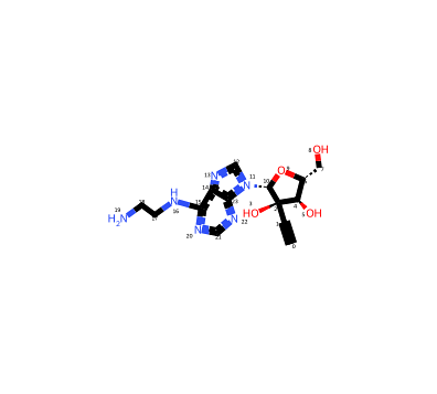 C#C[C@@]1(O)[C@H](O)[C@@H](CO)O[C@H]1n1cnc2c(NCCN)ncnc21